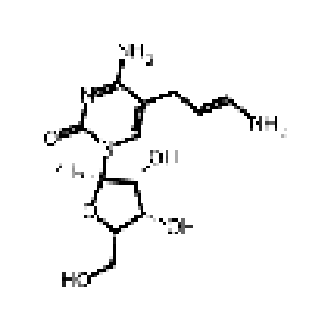 [2H][C@@]1(n2cc(CC=CN)c(N)nc2=O)O[C@H](CO)[C@@H](O)[C@H]1O